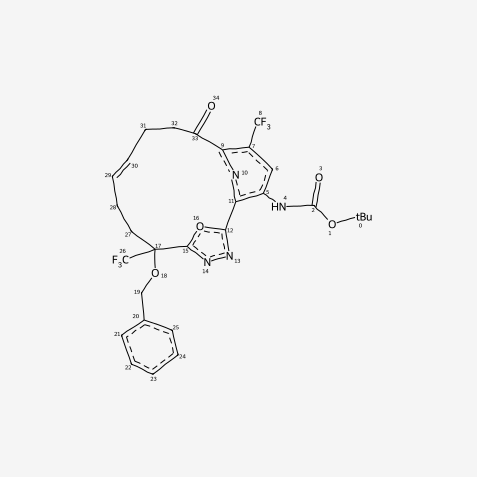 CC(C)(C)OC(=O)Nc1cc(C(F)(F)F)c2nc1-c1nnc(o1)C(OCc1ccccc1)(C(F)(F)F)CC/C=C\CCC2=O